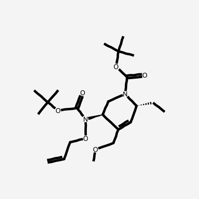 C=CCON(C(=O)OC(C)(C)C)[C@H]1CN(C(=O)OC(C)(C)C)[C@H](CC)C=C1COC